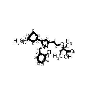 CC[C@](C)(OCCc1cc(-c2cccc(OC)c2)n(Cc2ccccc2Cl)n1)C(=O)O